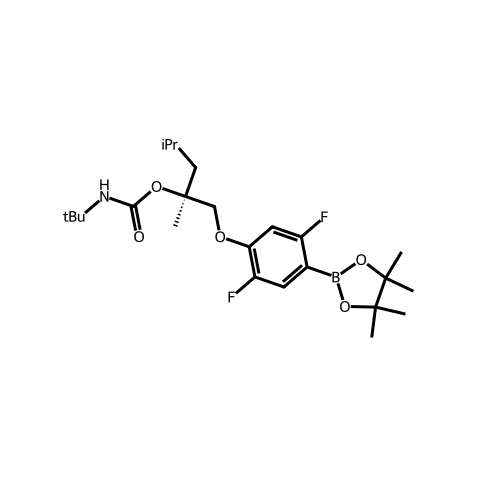 CC(C)C[C@@](C)(COc1cc(F)c(B2OC(C)(C)C(C)(C)O2)cc1F)OC(=O)NC(C)(C)C